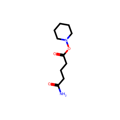 NC(=O)CCCC(=O)ON1CCCCC1